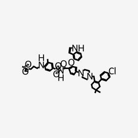 Cc1cc(S(=O)(=O)NC(=O)c2ccc(N3CCN(CC4=C(c5ccc(Cl)cc5)CC(C)(C)CC4)CC3)cc2Oc2cccc3[nH]ccc23)ccc1NCCCS(C)(=O)=O